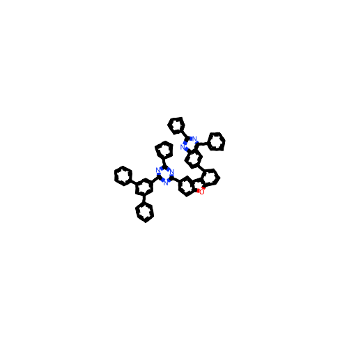 c1ccc(-c2cc(-c3ccccc3)cc(-c3nc(-c4ccccc4)nc(-c4ccc5oc6cccc(-c7ccc8nc(-c9ccccc9)nc(-c9ccccc9)c8c7)c6c5c4)n3)c2)cc1